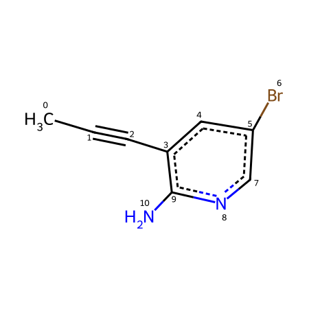 CC#Cc1cc(Br)cnc1N